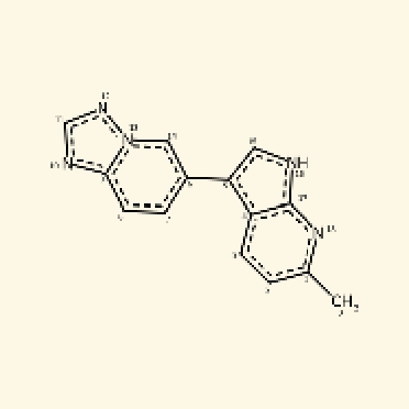 Cc1ccc2c(-c3ccc4ncnn4c3)c[nH]c2n1